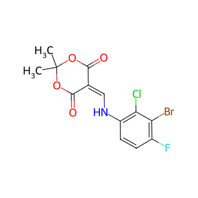 CC1(C)OC(=O)C(=CNc2ccc(F)c(Br)c2Cl)C(=O)O1